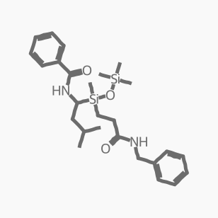 CC(C)CC(NC(=O)c1ccccc1)[Si](C)(CCC(=O)NCc1ccccc1)O[Si](C)(C)C